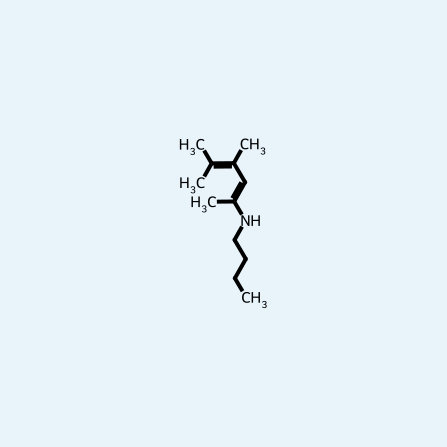 CCCCN/C(C)=C/C(C)=C(C)C